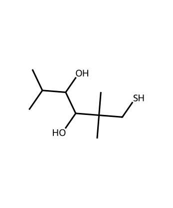 CC(C)C(O)C(O)C(C)(C)CS